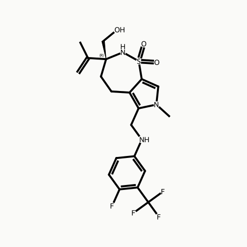 C=C(C)[C@@]1(CO)CCc2c(cn(C)c2CNc2ccc(F)c(C(F)(F)F)c2)S(=O)(=O)N1